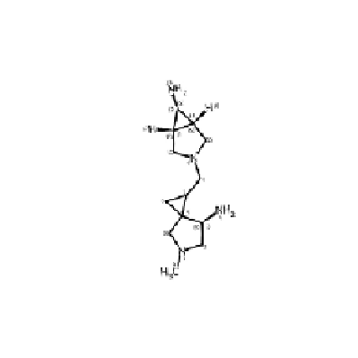 CN1C[C@H](N)C2(CC2CN2C[C@@H]3[C@@H](N)[C@@H]3C2)C1